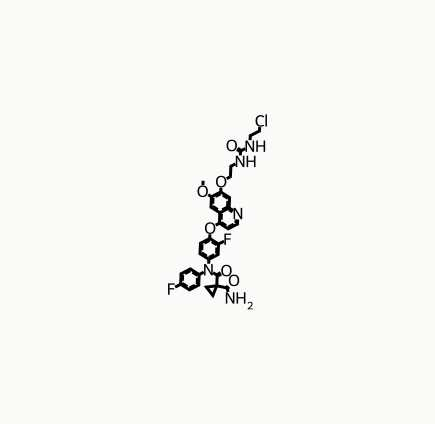 COc1cc2c(Oc3ccc(N(C(=O)C4(C(N)=O)CC4)c4ccc(F)cc4)cc3F)ccnc2cc1OCCNC(=O)NCCCl